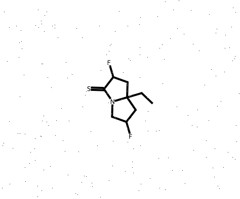 CCC12CC(F)CN1C(=S)C(F)C2